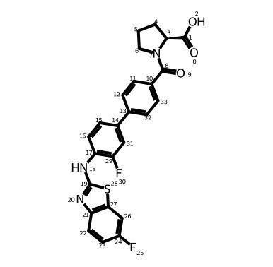 O=C(O)[C@@H]1CCCN1C(=O)c1ccc(-c2ccc(Nc3nc4ccc(F)cc4s3)c(F)c2)cc1